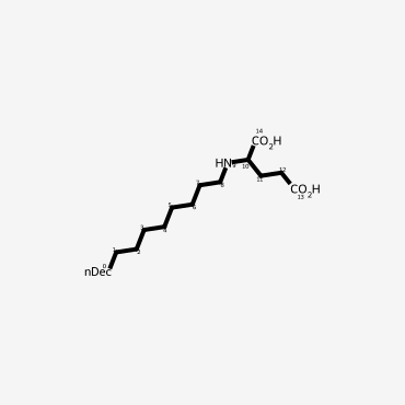 CCCCCCCCCCCCCCCCCCNC(CCC(=O)O)C(=O)O